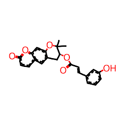 CC1(C)Oc2cc3oc(=O)ccc3cc2C[C@@H]1OC(=O)/C=C/c1cccc(O)c1